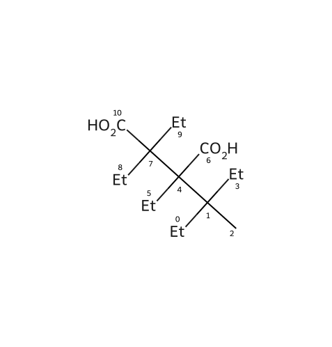 CCC(C)(CC)C(CC)(C(=O)O)C(CC)(CC)C(=O)O